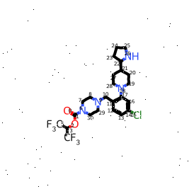 O=C(OC(C(F)(F)F)C(F)(F)F)N1CCN(Cc2ccc(Cl)cc2N2CCC(C3CCCN3)CC2)CC1